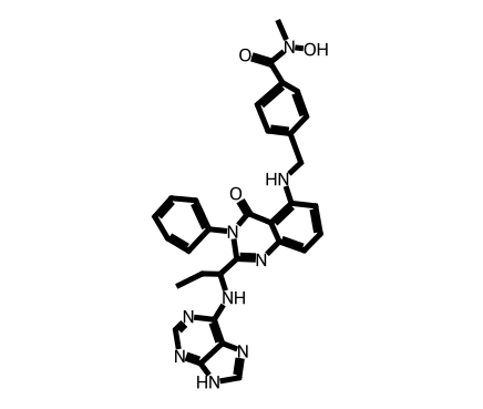 CCC(Nc1ncnc2[nH]cnc12)c1nc2cccc(NCc3ccc(C(=O)N(C)O)cc3)c2c(=O)n1-c1ccccc1